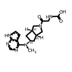 CN(c1ncnc2[nH]ccc12)[C@H]1C[C@@H]2CN(C(=O)CNC(=O)O)C[C@@H]2C1